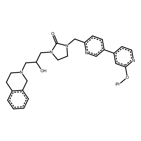 CC(C)Oc1cc(-c2ccc(CN3CCN(CC(O)CN4CCc5ccccc5C4)C3=O)nc2)ccn1